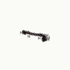 CCCCc1nc(C)c(CNC(=O)COCC(=O)NCCOCCOCCOCCOCCOCCNC(=O)CCCC[C@@H]2SC[C@@H]3NC(=O)N[C@@H]32)n1Cc1ccc(-c2ccccc2-c2nn[nH]n2)cc1